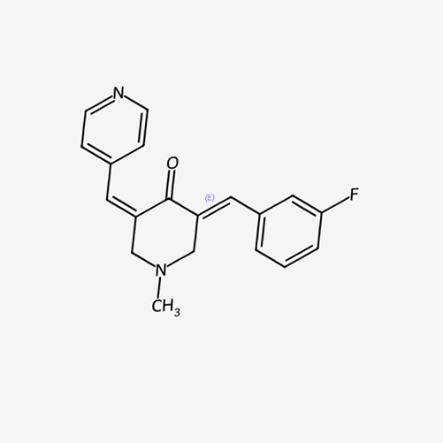 CN1CC(=Cc2ccncc2)C(=O)/C(=C/c2cccc(F)c2)C1